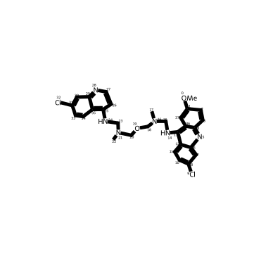 COc1ccc2nc3cc(Cl)ccc3c(NCN(C)COCN(C)CNc3ccnc4cc(Cl)ccc34)c2c1